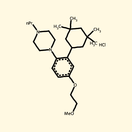 CCCN1CCN(c2ccc(OCCOC)cc2C2CC(C)(C)CC(C)(C)C2)CC1.Cl